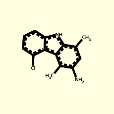 Cc1cc(N)c(C)c2c1[nH]c1cccc(Cl)c12